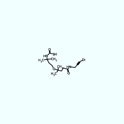 CCC#CCNC(=O)CCC(C)(C)OCCC(C)(C)NC(=O)S